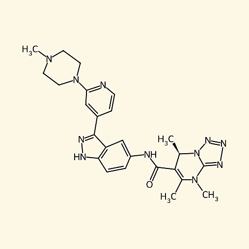 CC1=C(C(=O)Nc2ccc3[nH]nc(-c4ccnc(N5CCN(C)CC5)c4)c3c2)[C@@H](C)n2nnnc2N1C